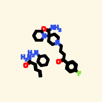 C=C/C=C/C(N)=O.NC(=O)C1(N2CCCCC2)CCN(CCCC(=O)c2ccc(F)cc2)CC1.NC1CCCCC1